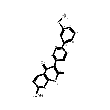 COc1ccc2c(=O)c(-c3ccc(-c4cccc(OC(F)(F)F)c4)cc3)c(C)[nH]c2c1